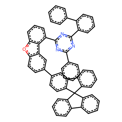 c1ccc(-c2nc(-c3ccccc3-c3ccccc3)nc(-c3cccc4oc5ccc(-c6ccc7c(c6)-c6ccccc6C76c7ccccc7-c7ccccc76)cc5c34)n2)cc1